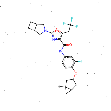 O=C(Nc1ccc(O[C@@H]2CC3C[C@@H]3C2)c(F)c1)c1nc(N2CC3CCC3C2)oc1CC(F)(F)F